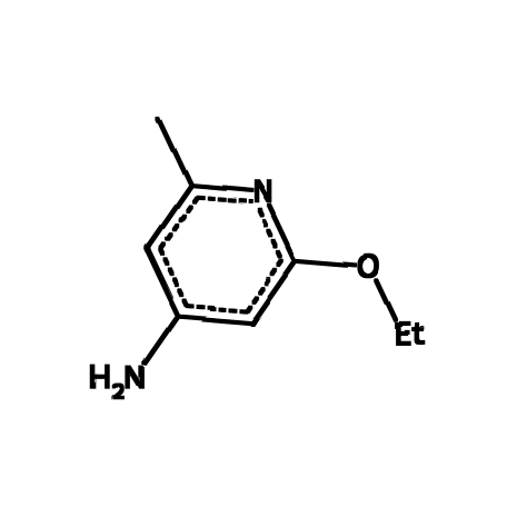 CCOc1cc(N)cc(C)n1